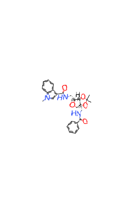 Cn1cc(C(=O)NC[C@H]2OC[C@]3(CNC(=O)c4ccccc4)OC(C)(C)O[C@H]23)c2ccccc21